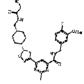 COc1cc(CNC(=O)c2cc(C3=NOC([C@H]4CC[C@H](CNC(=O)CC#N)CC4)C3)nc(C)n2)ccc1F